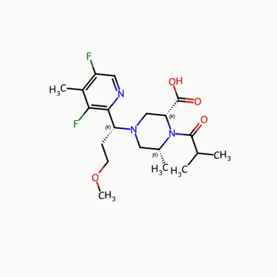 COCC[C@H](c1ncc(F)c(C)c1F)N1C[C@@H](C)N(C(=O)C(C)C)[C@@H](C(=O)O)C1